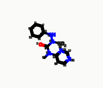 CN(C(=O)N(Nc1ccccc1)[N+](=O)[O-])c1ccncn1